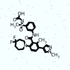 Cc1c(-c2cnn(C)c2)ccc(N2CCCC(F)(F)CC2)c1C(=O)Nc1cccc(S(C)(=O)=NC(=O)O)c1